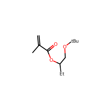 C=C(C)C(=O)OC(CC)COC(C)(C)C